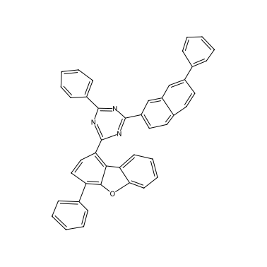 c1ccc(-c2ccc3ccc(-c4nc(-c5ccccc5)nc(-c5ccc(-c6ccccc6)c6oc7ccccc7c56)n4)cc3c2)cc1